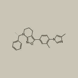 Cc1cn(-c2ccc(-c3onc4c3CCCN4[C@@H](C)c3ccccc3)cc2C)cn1